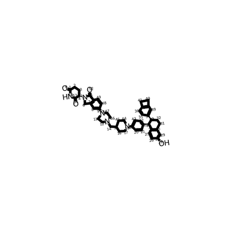 O=C1CC[C@H](N2Cc3cc(N4CCN(CC5CCN(c6ccc([C@@H]7c8ccc(O)cc8CC[C@@H]7c7ccc8c(c7)CC8)cc6)CC5)CC4)ccc3C2=O)C(=O)N1